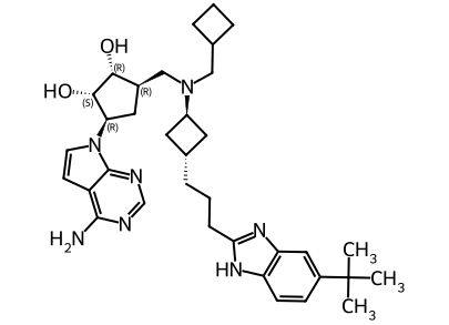 CC(C)(C)c1ccc2[nH]c(CCC[C@H]3C[C@H](N(CC4CCC4)C[C@H]4C[C@@H](n5ccc6c(N)ncnc65)[C@H](O)[C@@H]4O)C3)nc2c1